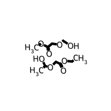 CCOC(=O)COC(C)O.COC(=O)COCO